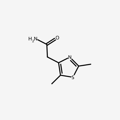 Cc1nc(CC(N)=O)c(C)s1